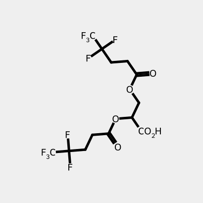 O=C(CCC(F)(F)C(F)(F)F)OCC(OC(=O)CCC(F)(F)C(F)(F)F)C(=O)O